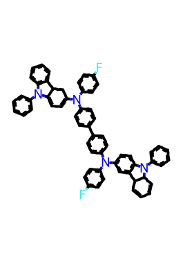 Fc1ccc(N(C2=CC=C3C(C2)c2ccccc2N3c2ccccc2)c2ccc(-c3ccc(N(c4ccc(F)cc4)c4ccc5c(c4)C4C=CC=CC4N5c4ccccc4)cc3)cc2)cc1